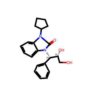 O=c1n(C2CCCC2)c2ccccc2n1[C@@H](c1ccccc1)[C@H](O)CO